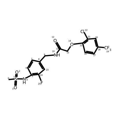 CS(=O)(=O)Nc1ccc(CNC(=O)COc2ccc(C(F)(F)F)cc2Cl)cc1F